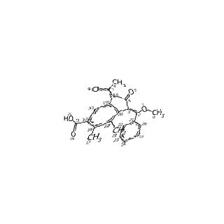 CO/C(=C1\C(=O)N(C(C)=O)c2cc(C(=O)O)c(C)c(C)c21)c1ccccc1